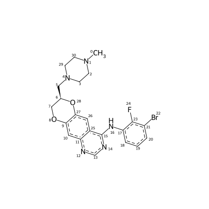 CN1CCN(C[C@@H]2COc3cc4ncnc(Nc5cccc(Br)c5F)c4cc3O2)CC1